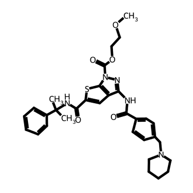 COCCOC(=O)n1nc(NC(=O)c2ccc(CN3CCCCC3)cc2)c2cc(C(=O)NC(C)(C)c3ccccc3)sc21